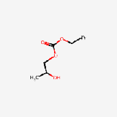 CC(C)COC(=O)OCC(C)O